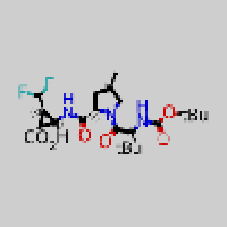 C[C@@H]1C[C@@H](C(=O)N[C@]2(C(=O)O)C[C@H]2C(F)F)N(C(=O)[C@@H](NC(=O)OC(C)(C)C)C(C)(C)C)C1